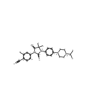 Cc1cc(N2C(=O)C(C)(C)N(c3ccc(N4CCN(C(C)C)CC4)cc3)C2=S)ccc1C#N